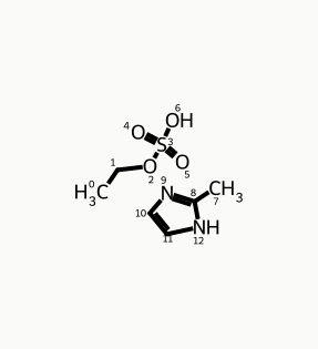 CCOS(=O)(=O)O.Cc1ncc[nH]1